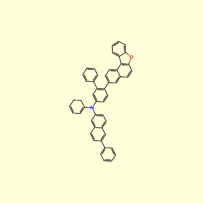 C1=CCCC(N(c2ccc(-c3ccc4c(ccc5oc6ccccc6c54)c3)c(-c3ccccc3)c2)c2ccc3cc(-c4ccccc4)ccc3c2)=C1